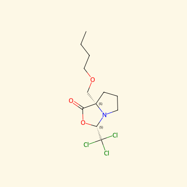 CCCCOC[C@]12CCCN1[C@H](C(Cl)(Cl)Cl)OC2=O